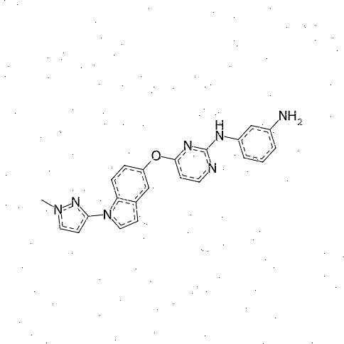 Cn1ccc(-n2ccc3cc(Oc4ccnc(Nc5cccc(N)c5)n4)ccc32)n1